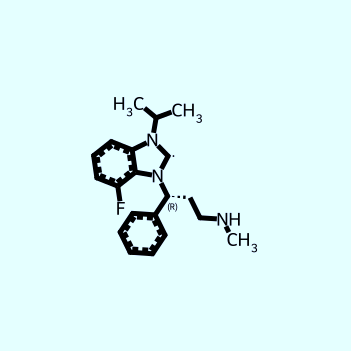 CNCC[C@H](c1ccccc1)N1[CH]N(C(C)C)c2cccc(F)c21